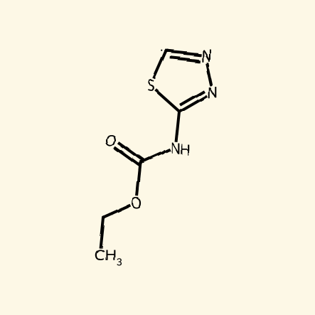 CCOC(=O)Nc1nn[c]s1